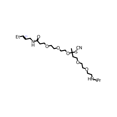 CC/C=C/CNC(=O)CCOCCOCCOC(C)(CCOCCOCCNC(C)C)SC#N